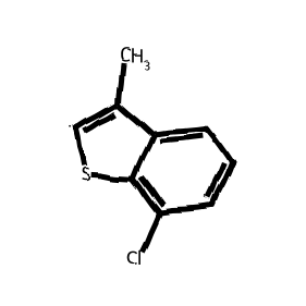 Cc1[c]sc2c(Cl)cccc12